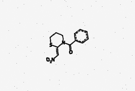 O=C(c1ccccc1)N1CCCS/C1=C\[N+](=O)[O-]